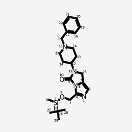 C[SiH](OCc1ncc2n1C(=O)N(C1CCN(Cc3ccccc3)CC1)C2)C(C)(C)C